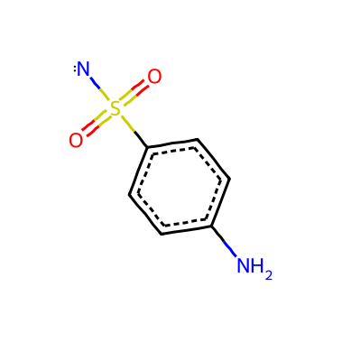 [N]S(=O)(=O)c1ccc(N)cc1